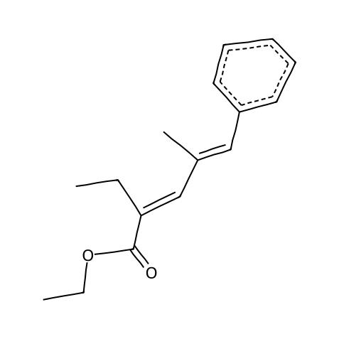 CCOC(=O)/C(=C/C(C)=C/c1ccccc1)CC